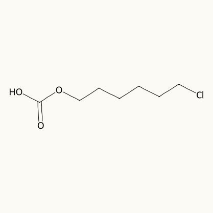 O=C(O)OCCCCCCCl